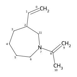 C=CC1CCCCN(C(=C)C)C1